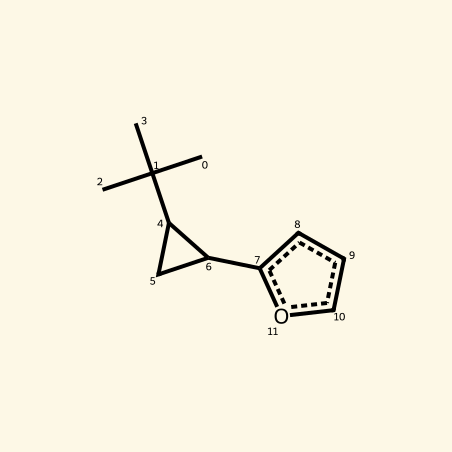 CC(C)(C)C1CC1c1ccco1